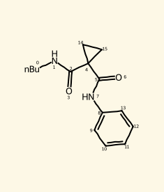 CCCCNC(=O)C1(C(=O)Nc2ccccc2)CC1